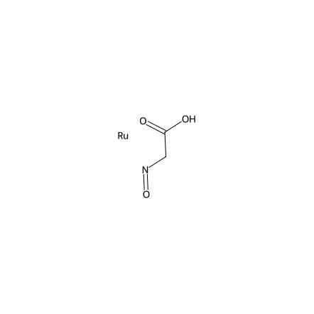 O=NCC(=O)O.[Ru]